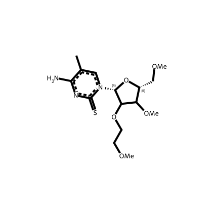 COCCOC1C(OC)[C@@H](COC)O[C@H]1n1cc(C)c(N)nc1=S